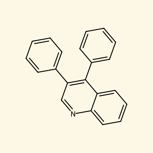 c1ccc(-c2cnc3ccccc3c2-c2ccccc2)cc1